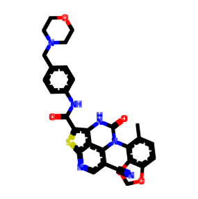 Cc1ccc2c(c1N1C(=O)Nc3c(C(=O)Nc4ccc(CN5CCOCC5)cc4)sc4ncc(C#N)c1c34)OCO2